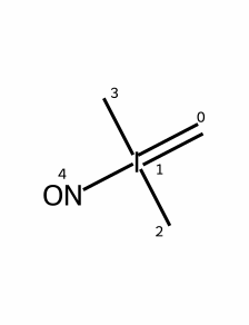 C=I(C)(C)N=O